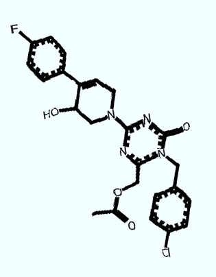 CC(=O)OCc1nc(N2CC=C(c3ccc(F)cc3)C(O)C2)nc(=O)n1Cc1ccc(Cl)cc1